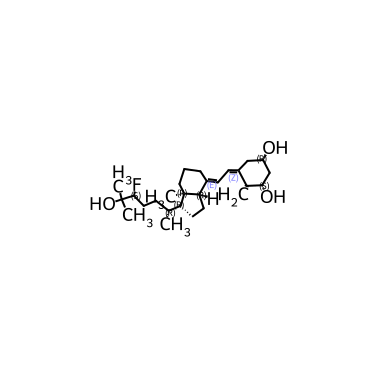 C=C1/C(=C\C=C2/CCC[C@]3(C)[C@@H]([C@H](C)CC[C@H](F)C(C)(C)O)CC[C@@H]23)C[C@@H](O)C[C@@H]1O